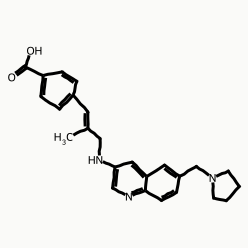 C/C(=C\c1ccc(C(=O)O)cc1)CNc1cnc2ccc(CN3CCCC3)cc2c1